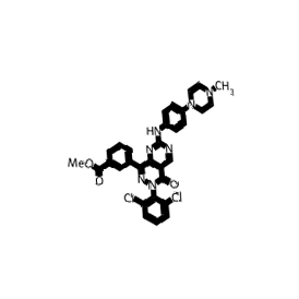 COC(=O)c1cccc(-c2nn(-c3c(Cl)cccc3Cl)c(=O)c3cnc(Nc4ccc(N5CCN(C)CC5)cc4)nc23)c1